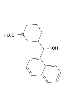 O=C(O)N1CCCC([C@H](O)c2cccc3ccccc23)C1